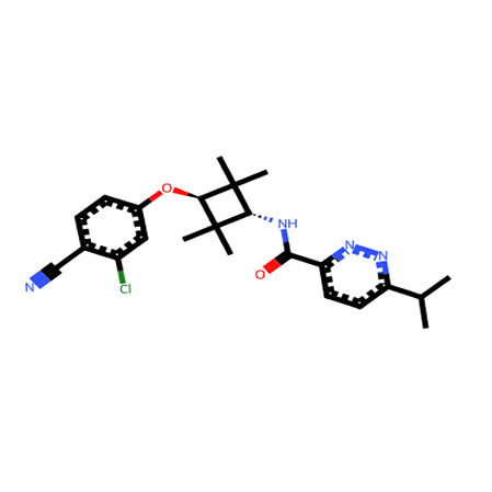 CC(C)c1ccc(C(=O)N[C@H]2C(C)(C)[C@H](Oc3ccc(C#N)c(Cl)c3)C2(C)C)nn1